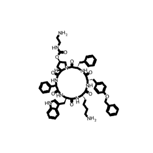 NCCCC[C@@H]1NC(=O)[C@@H](Cc2c[nH]c3ccccc23)NC(=O)C(c2ccccc2)NC(=O)[C@@H]2C[C@@H](OC(=O)NCCN)CN2C(=O)[C@H](Cc2ccccc2)NC(=O)[C@H](Cc2ccc(OCc3ccccc3)cc2)NC1=O